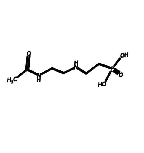 CC(=O)NCCNCCP(=O)(O)O